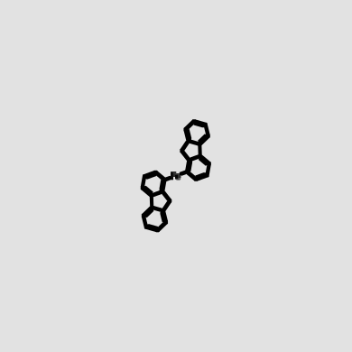 c1ccc2c(c1)Cc1[c]([Fe][c]3cccc4c3Cc3ccccc3-4)cccc1-2